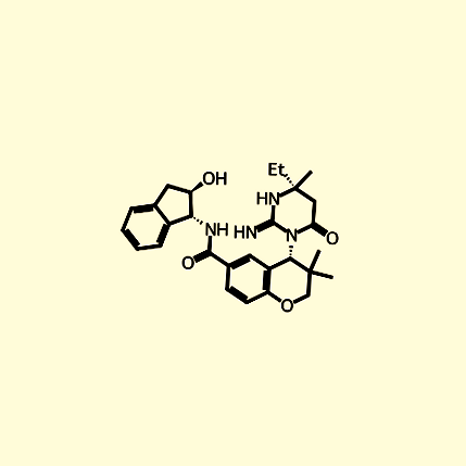 CC[C@]1(C)CC(=O)N([C@H]2c3cc(C(=O)N[C@@H]4c5ccccc5C[C@H]4O)ccc3OCC2(C)C)C(=N)N1